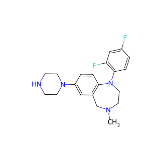 CN1CCN(c2ccc(F)cc2F)c2ccc(N3CCNCC3)cc2C1